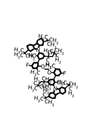 Cc1cc(F)cc(-c2cc(C(C)(C)CC(C)(C)C)cc(-n3c4cc(C(C)(C)C)ccc4c4ccc(C(C)(C)C)cc43)c2O)c1OCCOc1c(C)cc(F)cc1-c1cc(C(C)(C)CC(C)(C)C)cc(-n2c3cc(C(C)(C)C)ccc3c3ccc(C(C)(C)C)cc32)c1O